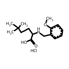 COc1ccccc1CNC(CCC(C)(C)C)C(=O)O.Cl